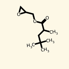 CC(CC(C)(C)C)C(=O)OCC1CO1